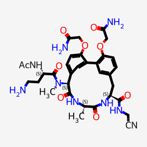 CC(=O)N[C@@H](CCN)C(=O)N(C)[C@@H]1C(=O)N[C@@H](C)C(=O)N[C@H](C(=O)NCC#N)Cc2ccc(OCC(N)=O)c(c2)-c2cc1ccc2OCC(N)=O